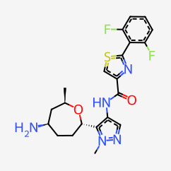 C[C@@H]1C[C@H](N)CC[C@@H](c2c(NC(=O)c3csc(-c4c(F)cccc4F)n3)cnn2C)O1